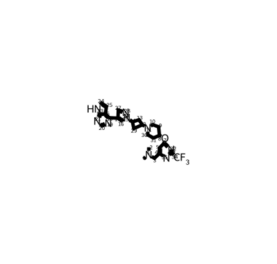 CN(C)Cc1cc(OC2CCN(C3C[C](n4cc(-c5ncnc6[nH]ccc56)cn4)C3)CC2)nc(C(F)(F)F)n1